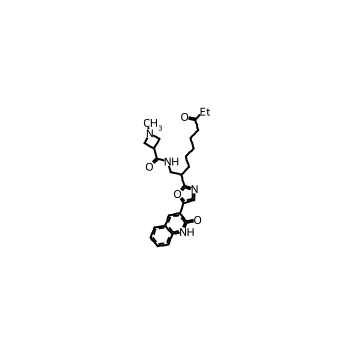 CCC(=O)CCCCCC(CNC(=O)C1CN(C)C1)c1ncc(-c2cc3ccccc3[nH]c2=O)o1